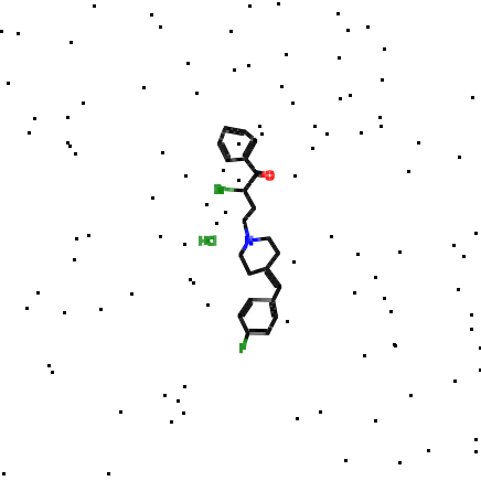 Cl.O=C(c1ccccc1)C(Br)CCN1CCC(=Cc2ccc(F)cc2)CC1